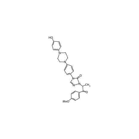 COc1ccc(C(=O)C(C)n2ncn(-c3ccc(N4CCN(c5ccc(O)cc5)CC4)cc3)c2=O)cc1